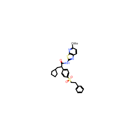 COc1ccc2nc(NC(=O)C(CC3CCCC3)c3ccc(S(=O)(=O)CCc4ccccc4)cc3)sc2n1